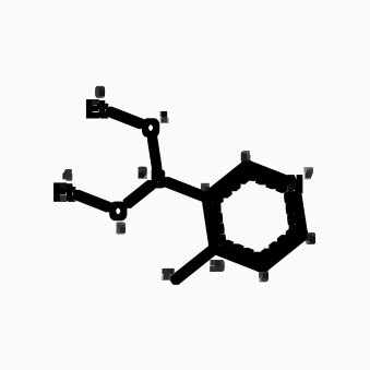 CCOB(OCC)c1cnccc1C